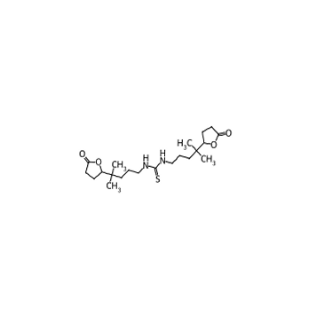 CC(C)(CCCNC(=S)NCCCC(C)(C)C1CCC(=O)O1)C1CCC(=O)O1